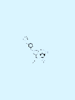 CCOC(=O)C1CN(Cc2cccc(CN3CCCC3)c2)CCN1c1nc(S(C)(=O)=O)nc(N)c1[N+](=O)[O-]